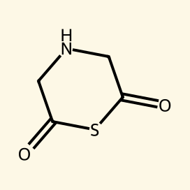 O=C1CNCC(=O)S1